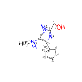 O=C(O)Nc1cnc(CO)nc1-c1ccccc1